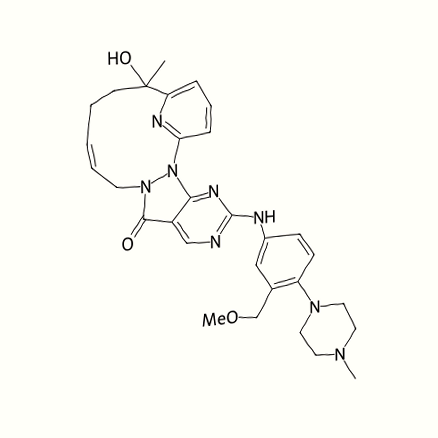 COCc1cc(Nc2ncc3c(=O)n4n(c3n2)-c2cccc(n2)C(C)(O)CC/C=C\C4)ccc1N1CCN(C)CC1